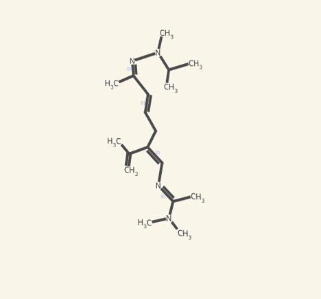 C=C(C)/C(=C\N=C(/C)N(C)C)C/C=C/C(C)=N\N(C)C(C)C